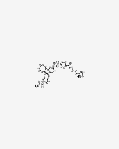 N=C(N)Nc1ccc(CC(=O)N2CCN(C(=O)OC(=O)N3CCN(C(=O)CCCCCc4ncc[nH]4)CC3)CC2=C2CCCCCCC2)cc1